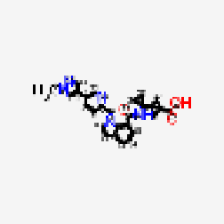 Cn1cc(-c2ccc(Cn3ccc4cccc(C(=O)NC5(C67CC6(C(=O)O)C7)CC5)c43)nc2)cn1